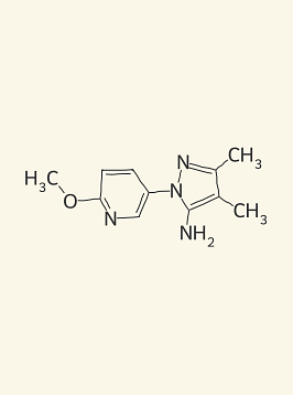 COc1ccc(-n2nc(C)c(C)c2N)cn1